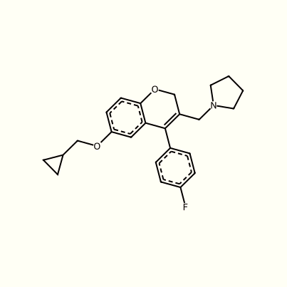 Fc1ccc(C2=C(CN3CCCC3)COc3ccc(OCC4CC4)cc32)cc1